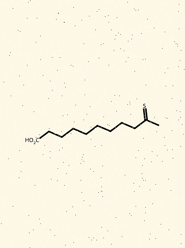 CC(=S)CCCCCCCCC(=O)O